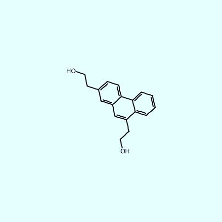 OCCc1ccc2c(c1)cc(CCO)c1ccccc12